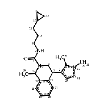 Cc1c(C2CN(C(=O)NCCCC3CC3)C(C)c3ccccc32)cnn1C